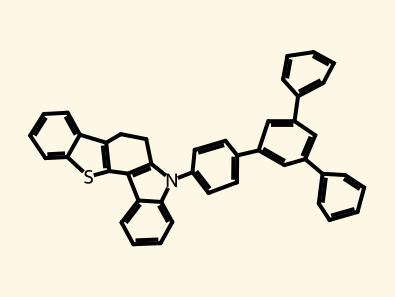 c1ccc(-c2cc(-c3ccccc3)cc(-c3ccc(-n4c5c(c6ccccc64)-c4sc6ccccc6c4CC5)cc3)c2)cc1